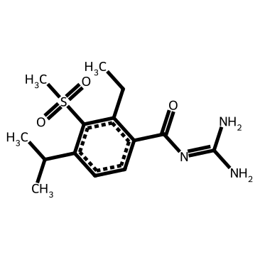 CCc1c(C(=O)N=C(N)N)ccc(C(C)C)c1S(C)(=O)=O